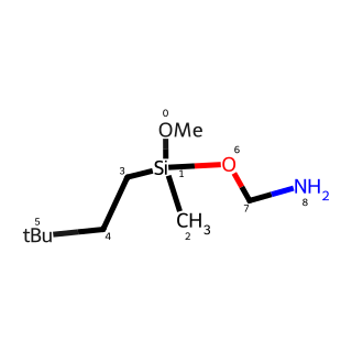 CO[Si](C)(CCC(C)(C)C)OCN